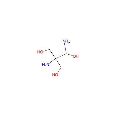 NC(O)C(N)(CO)CO